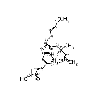 CCC=CCCc1nc2cc(C=CC(=O)NO)ccc2n1CC(C)(C)CN(C)C